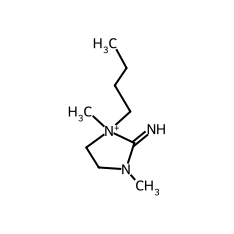 CCCC[N+]1(C)CCN(C)C1=N